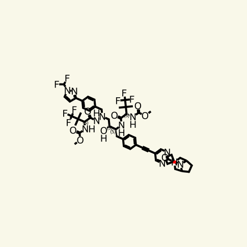 COC(=O)N[C@H](C(=O)N[C@@H](Cc1ccc(C#Cc2cnc(N3CC4CCC(C3)N4C3COC3)nc2)cc1)[C@@H](O)CN(Cc1ccc(-c2ccn(C(F)F)n2)cc1)NC(=O)[C@@H](NC(=O)OC)C(C)(C)C(F)(F)F)C(C)(C)C(F)(F)F